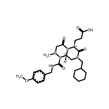 COc1ccc(CNC(=O)N2[C@H]3CN(CC4CCCCC4)C(=O)[C@H](CCC(=O)O)N3C(=O)CN2C)cc1